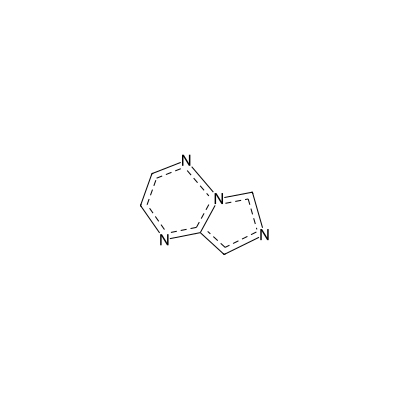 c1cnn2cncc2n1